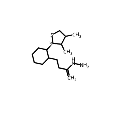 C=C(CCC1CCCCC1[C@H]1SCC(C)C1C)NN